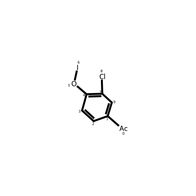 CC(=O)c1ccc(OI)c(Cl)c1